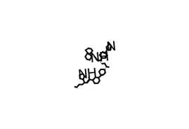 CCCCC(/C=C(\C)C1CCCC(C2=CC[C@@H](C(C)CC[C@H](CN[C@@H]3CCCC4=C3CCCC4)C3C=CC(C4=CCN=C4)=CC3)CC2)C1)C1CCNC1